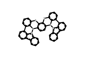 c1cc2c3c(c1)-c1cccc4c5ccccc5n(c14)B3c1ccc3c(c1S2)Sc1cccc2c1B3n1c3ccccc3c3cccc-2c31